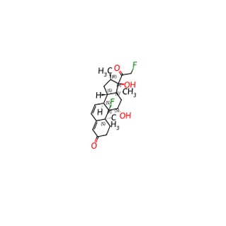 C[C@@H]1C[C@H]2[C@@H]3C=CC4=CC(=O)CC[C@]4(C)[C@@]3(F)[C@@H](O)C[C@]2(C)[C@@]1(O)C(=O)CF